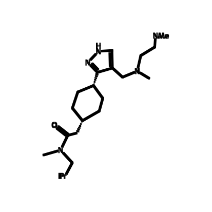 CNCCN(C)Cc1c[nH]nc1[C@H]1CC[C@@H](CC(=O)N(C)CC(C)C)CC1